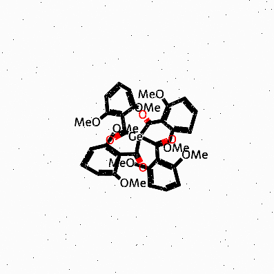 COc1cccc(OC)c1[C](=O)[Ge]([C](=O)c1c(OC)cccc1OC)([C](=O)c1c(OC)cccc1OC)[C](=O)c1c(OC)cccc1OC